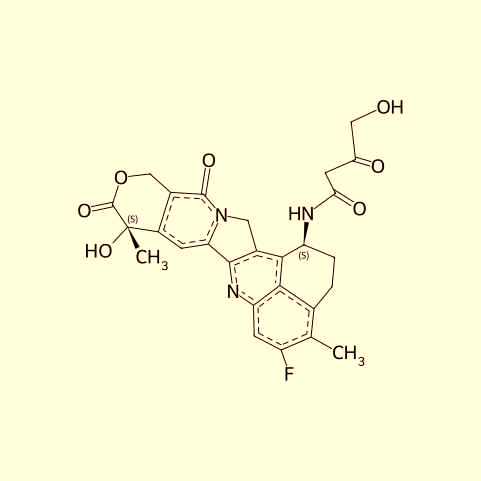 Cc1c(F)cc2nc3c(c4c2c1CC[C@@H]4NC(=O)CC(=O)CO)Cn1c-3cc2c(c1=O)COC(=O)[C@@]2(C)O